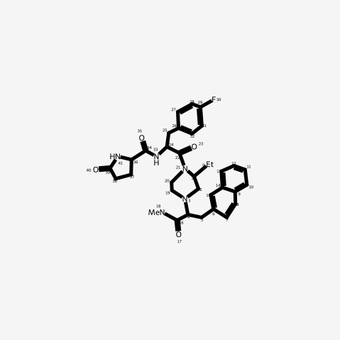 CCC1CN(C(Cc2ccc3ccccc3c2)C(=O)NC)CCN1C(=O)C(Cc1ccc(F)cc1)NC(=O)C1CCC(=O)N1